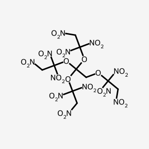 O=[N+]([O-])CC(OCC(OC(C[N+](=O)[O-])([N+](=O)[O-])[N+](=O)[O-])(OC(C[N+](=O)[O-])([N+](=O)[O-])[N+](=O)[O-])OC(C[N+](=O)[O-])([N+](=O)[O-])[N+](=O)[O-])([N+](=O)[O-])[N+](=O)[O-]